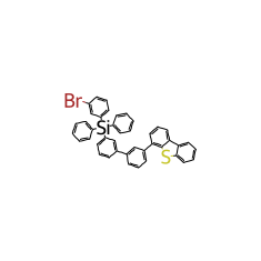 Brc1cccc([Si](c2ccccc2)(c2ccccc2)c2cccc(-c3cccc(-c4cccc5c4sc4ccccc45)c3)c2)c1